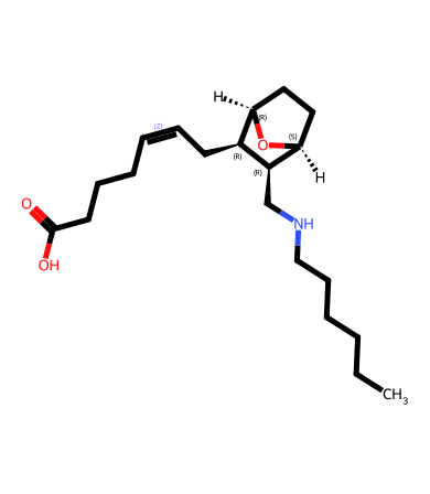 CCCCCCNC[C@H]1[C@@H](C/C=C\CCCC(=O)O)[C@H]2CC[C@@H]1O2